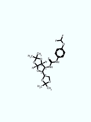 CC1(C)O[C@H]2O[C@H]([C@H]3COC(C)(C)O3)[C@H](NC(=S)Nc3ccc(OC(F)F)cc3)[C@H]2O1